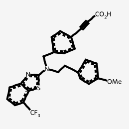 COc1ccc(CCN(Cc2ccc(C#CC(=O)O)cc2)c2nc3cccc(C(F)(F)F)c3s2)cc1